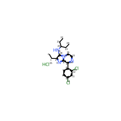 CCc1nc2c(-c3ccc(Cl)cc3Cl)nccn2c1NC(CC)CC.Cl